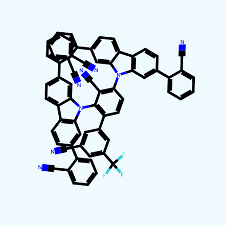 N#Cc1cc(-c2ccc(-n3c4cc(-c5ccccc5C#N)ccc4c4ccc(-c5ccccc5C#N)cc43)c(C#N)c2-n2c3cc(-c4ccccc4C#N)ccc3c3ccc(-c4ccccc4C#N)cc32)cc(C(F)(F)F)c1